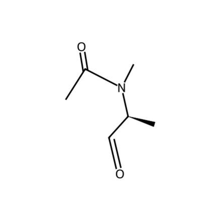 CC(=O)N(C)[C@@H](C)C=O